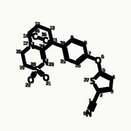 N#Cc1ccc(Oc2ccc(C34CCC(CC3)N3CCS(=O)(=O)N=C34)cc2)s1